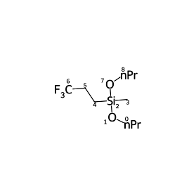 CCCO[Si](C)(CCC(F)(F)F)OCCC